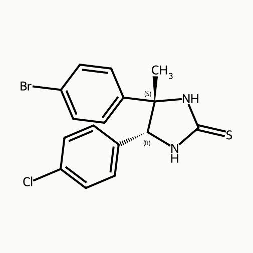 C[C@@]1(c2ccc(Br)cc2)NC(=S)N[C@@H]1c1ccc(Cl)cc1